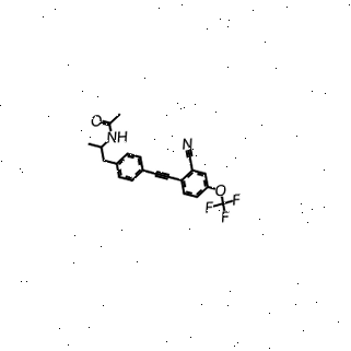 CC(=O)NC(C)Cc1ccc(C#Cc2ccc(OC(F)(F)F)cc2C#N)cc1